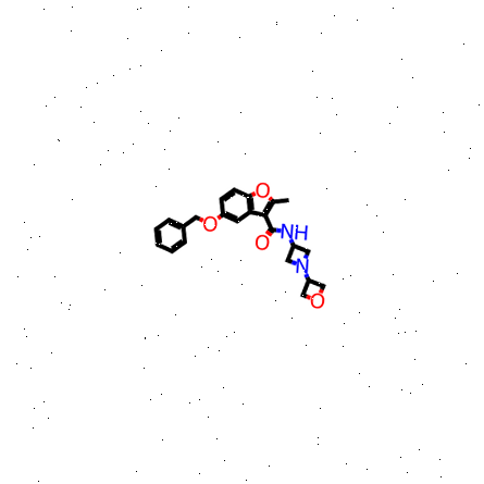 Cc1oc2ccc(OCc3ccccc3)cc2c1C(=O)NC1CN(C2COC2)C1